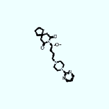 O=C1CC2(CCCC2)CC(=O)N1[C@H](O)CCCN1CCN(c2ncccn2)CC1